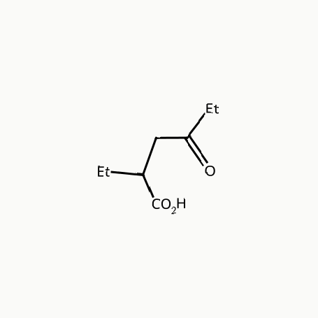 CCC(=O)CC(CC)C(=O)O